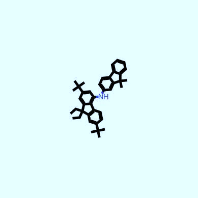 CCC1(CC)c2cc(C(C)(C)C)ccc2-c2c(Nc3ccc4c(c3)C(C)(C)c3ccccc3-4)cc(C(C)(C)C)cc21